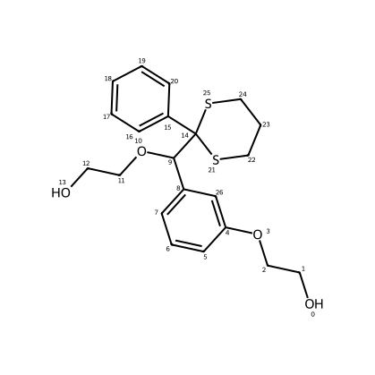 OCCOc1cccc(C(OCCO)C2(c3ccccc3)SCCCS2)c1